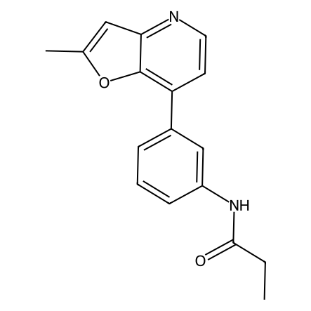 CCC(=O)Nc1cccc(-c2ccnc3cc(C)oc23)c1